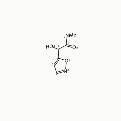 CNC(=O)C(O)c1ccno1